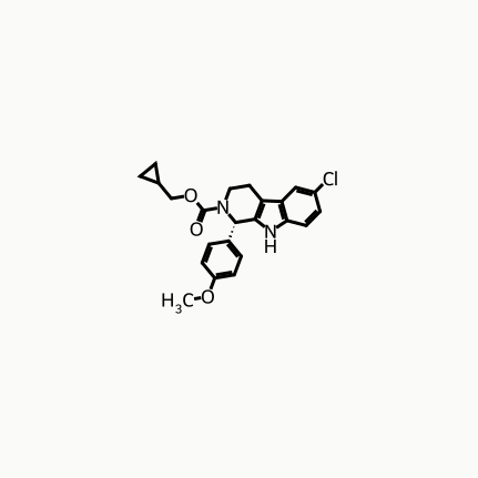 COc1ccc([C@H]2c3[nH]c4ccc(Cl)cc4c3CCN2C(=O)OCC2CC2)cc1